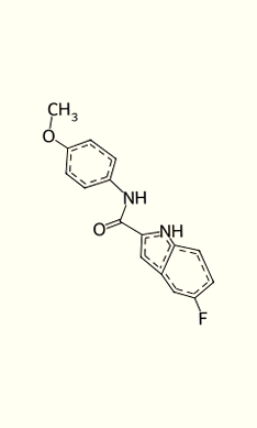 COc1ccc(NC(=O)c2cc3cc(F)ccc3[nH]2)cc1